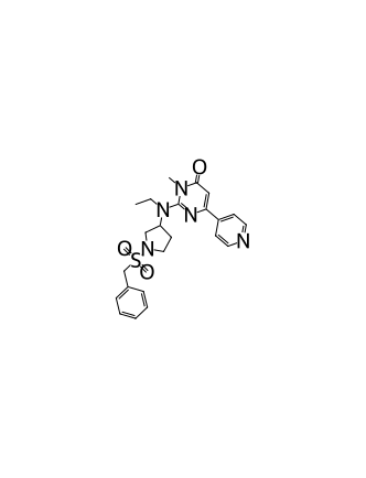 CCN(c1nc(-c2ccncc2)cc(=O)n1C)C1CCN(S(=O)(=O)Cc2ccccc2)C1